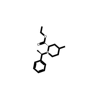 CCOC(=O)[C@@H]1CC(C)CCN1[C@H](C)c1ccccc1